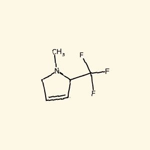 CN1CC=[C]C1C(F)(F)F